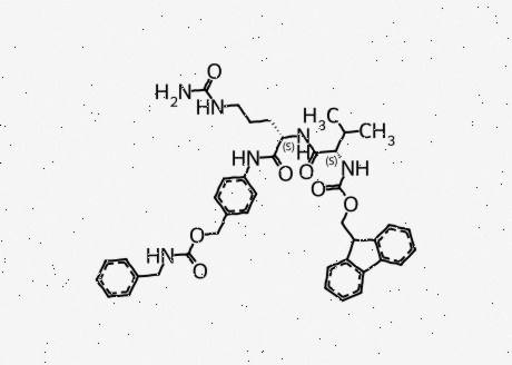 CC(C)[C@H](NC(=O)OCC1c2ccccc2-c2ccccc21)C(=O)N[C@@H](CCCNC(N)=O)C(=O)Nc1ccc(COC(=O)NCc2ccccc2)cc1